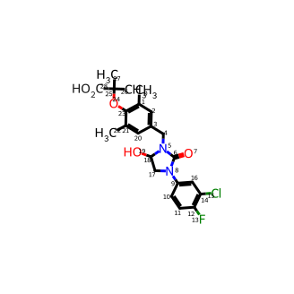 Cc1cc(CN2C(=O)N(c3ccc(F)c(Cl)c3)CC2O)cc(C)c1OC(C)(C)C(=O)O